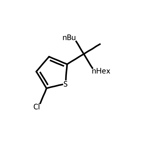 CCCCCCC(C)(CCCC)c1ccc(Cl)s1